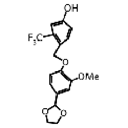 COc1cc(C2OCCO2)ccc1OCc1ccc(O)cc1C(F)(F)F